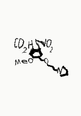 COc1cc(C(=O)O)c([N+](=O)[O-])cc1COCCCN1CCCC1